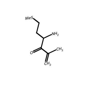 C=C(C)C(=O)C(N)CCSC